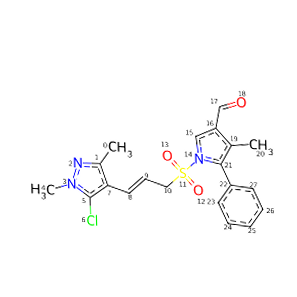 Cc1nn(C)c(Cl)c1C=CCS(=O)(=O)n1cc(C=O)c(C)c1-c1ccccc1